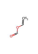 C=CO[C]=O